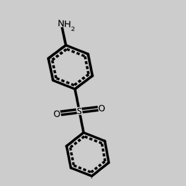 Nc1ccc(S(=O)(=O)c2cc[c]cc2)cc1